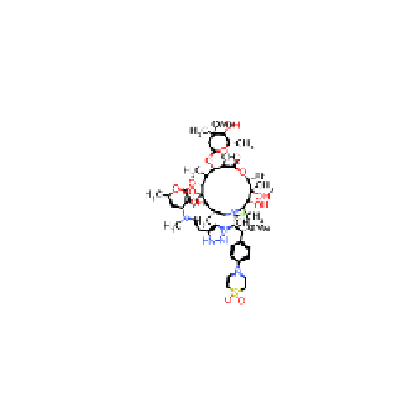 CC[C@H]1OC(=O)[C@H](C)[C@@H](O[C@H]2C[C@@](C)(OC)[C@@H](O)[C@H](C)O2)[C@H](C)[C@@H](O[C@@H]2O[C@H](C)C[C@H](N(C)CCC3=CN([C@H](CF)[C@H](OC)c4ccc(N5CCS(=O)(=O)CC5)cc4)NN3)[C@H]2O)[C@](C)(O)C[C@@H](C)CN(C)[C@H](C)[C@@H](O)[C@]1(C)O